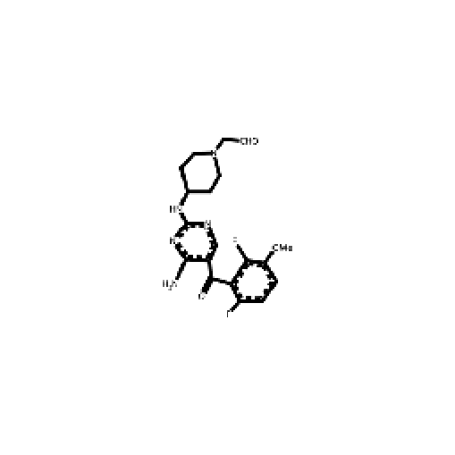 COc1ccc(F)c(C(=O)c2cnc(NC3CCN(CC=O)CC3)nc2N)c1F